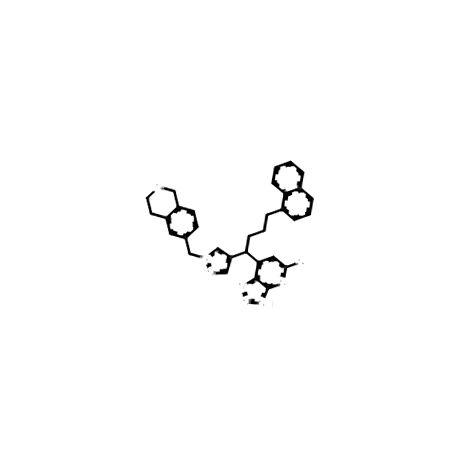 Nc1cc(C(CCCc2cccc3ccccc23)c2cnn(Cc3ccc4c(c3)CCNC4)c2)c2nn[nH]c2n1